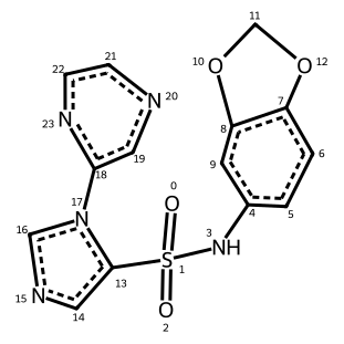 O=S(=O)(Nc1ccc2c(c1)OCO2)c1cncn1-c1cnccn1